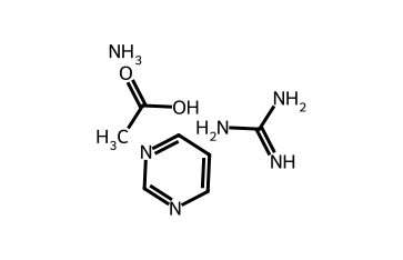 CC(=O)O.N.N=C(N)N.c1cncnc1